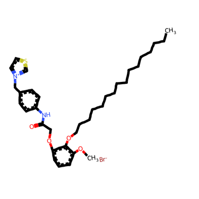 CCCCCCCCCCCCCCCCOc1c(OC)cccc1OCC(=O)Nc1ccc(C[n+]2ccsc2)cc1.[Br-]